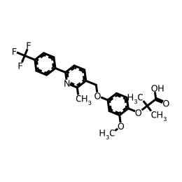 COc1cc(OCc2ccc(-c3ccc(C(F)(F)F)cc3)nc2C)ccc1OC(C)(C)C(=O)O